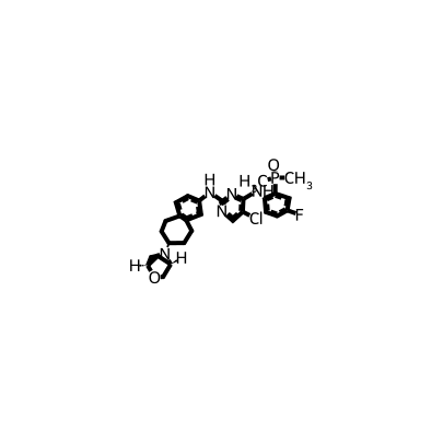 CP(C)(=O)c1cc(F)ccc1Nc1nc(Nc2ccc3c(c2)CC[C@H](N2C[C@H]4C[C@@H]2CO4)CC3)ncc1Cl